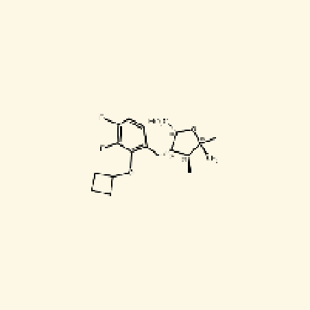 C[C@H]1[C@H](Cc2ccc(F)c(F)c2OC2CCC2)[C@H](C(=O)O)O[C@@]1(C)C(F)(F)F